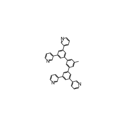 Cc1cc(-c2cc(-c3cccnc3)cc(-c3cccnc3)c2)cc(-c2cc(-c3cccnc3)cc(-c3cccnc3)c2)c1